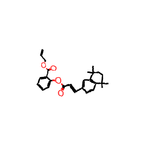 C=CCOC(=O)c1ccccc1OC(=O)C=Cc1ccc2c(c1)C(C)(C)CCC2(C)C